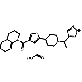 CC(c1cn[nH]c1)N1CCC(c2cc(C(=O)N3CCCC4CCCC=C43)cs2)CC1.O=CO